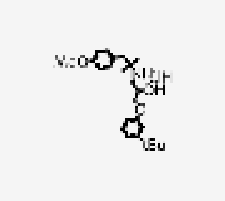 COc1ccc(CC(C)(C)NCC(O)COc2cccc(C(C)(C)C)c2)cc1.Cl